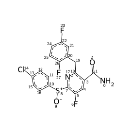 NC(=O)c1cc(F)c([S+]([O-])c2ccc(Cl)cc2)nc1Cc1cc(F)ccc1F